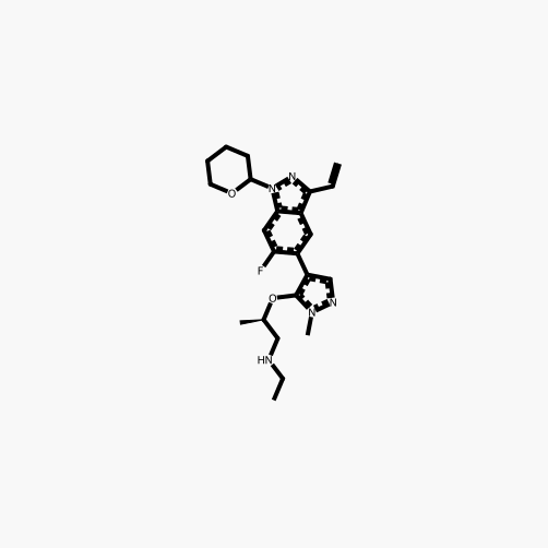 C=Cc1nn(C2CCCCO2)c2cc(F)c(-c3cnn(C)c3O[C@H](C)CNCC)cc12